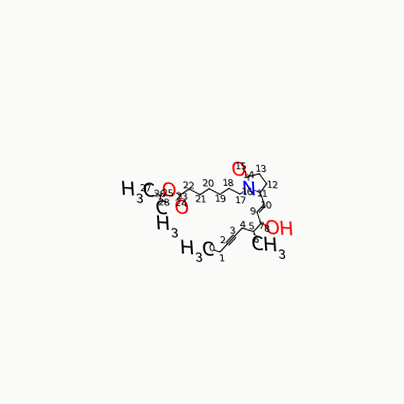 CCC#CC[C@H](C)[C@H](O)C=CC1CCC(=O)N1CCCCCCC(=O)OC(C)C